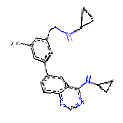 Cc1cc(CNC2CC2)cc(-c2ccc3ncnc(NC4CC4)c3c2)c1